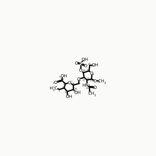 CCC1C(C(=O)O)OC(COC2C(NC(C)=O)C(OC)OC(CO)C2OS(=O)(=O)O)C(O)C1O